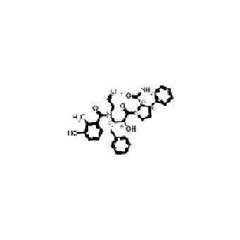 C=CCN(C(=O)c1cccc(O)c1C)[C@@H](Cc1ccccc1)[C@H](O)C(=O)N1CC[C@H](c2ccccc2)[C@H]1C(N)=O